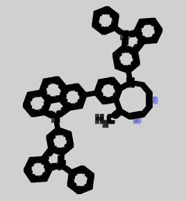 C=C1/C=C\C=C/CN(c2ccc3c(c2)c2ccccc2n3-c2ccccc2)c2ccc(-c3cc4ccc5cccc6c5c4c(c3)n6-c3ccc4c(c3)c3ccccc3n4-c3ccccc3)cc21